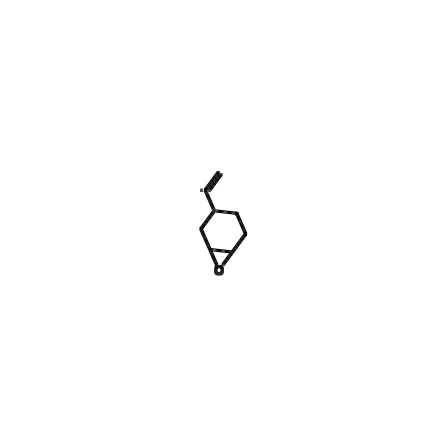 C=[C]C1CCC2OC2C1